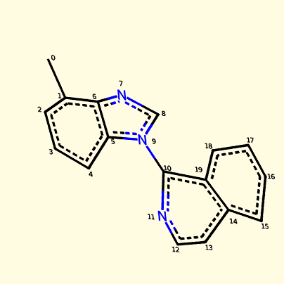 Cc1cccc2c1ncn2-c1nccc2ccccc12